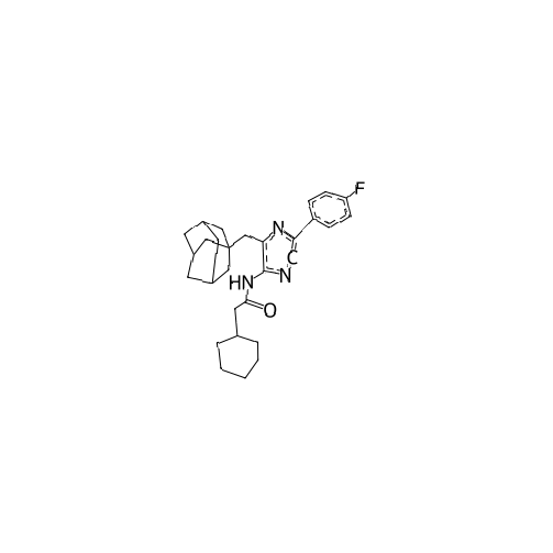 O=C(CC1CCCCC1)Nc1ncc(-c2ccc(F)cc2)nc1CC12CC3CC(CC(C3)C1)C2